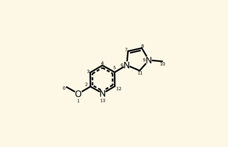 COc1ccc(N2C=CN(C)C2)cn1